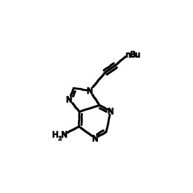 CCCCC#Cn1cnc2c(N)ncnc21